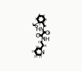 CSc1ccccc1CNC(=O)C(=O)NCCc1ccccn1